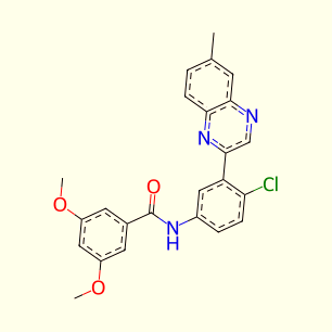 COc1cc(OC)cc(C(=O)Nc2ccc(Cl)c(-c3cnc4cc(C)ccc4n3)c2)c1